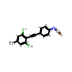 CCc1cc(F)c(C#Cc2ccc(N=C=S)cc2)c(F)c1